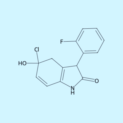 O=C1NC2=C(CC(O)(Cl)C=C2)C1c1ccccc1F